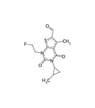 Cc1c(C=O)sc2c1c(=O)n(C1CC1C)c(=O)n2CCF